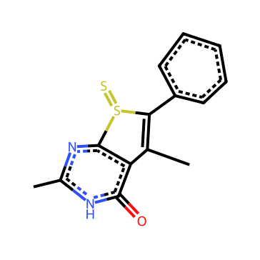 CC1=C(c2ccccc2)S(=S)c2nc(C)[nH]c(=O)c21